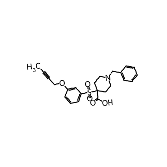 CC#CCOc1cccc(S(=O)(=O)C2(C(=O)O)CCN(Cc3ccccc3)CC2)c1